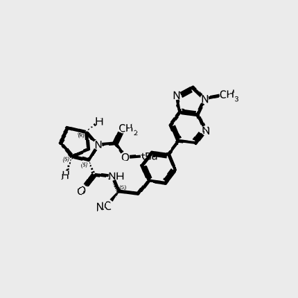 C=C(OC(C)(C)C)N1[C@@H]2CC[C@@H](C2)[C@H]1C(=O)N[C@H](C#N)Cc1ccc(-c2cnc3c(c2)ncn3C)cc1